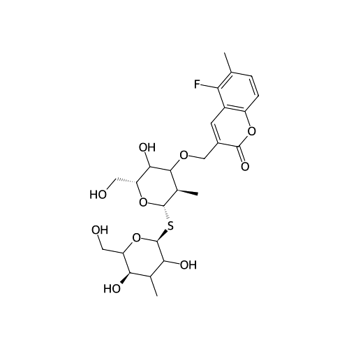 Cc1ccc2oc(=O)c(COC3C(O)[C@@H](CO)O[C@@H](S[C@@H]4OC(CO)[C@H](O)C(C)C4O)[C@@H]3C)cc2c1F